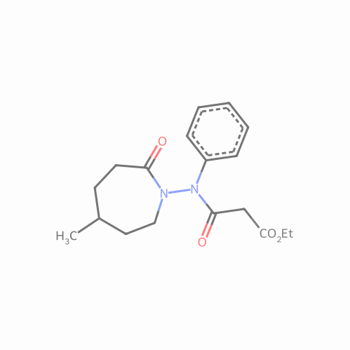 CCOC(=O)CC(=O)N(c1ccccc1)N1CCC(C)CCC1=O